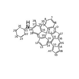 CC1=C(C(c2ccccc2)(c2ccccc2)c2ccc(NC3CCCCC3)c(C)c2C)c2cc3c(cc2=C1)C=CC=3